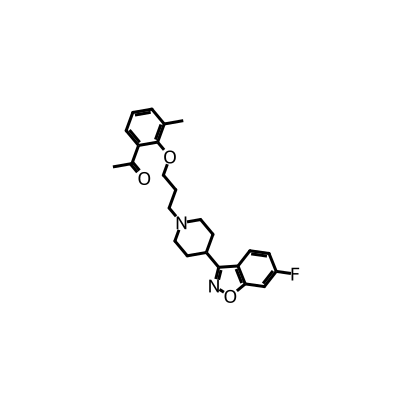 CC(=O)c1cccc(C)c1OCCCN1CCC(c2noc3cc(F)ccc23)CC1